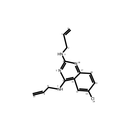 C=CCNc1nc(NCC=C)c2cc(Cl)ccc2n1